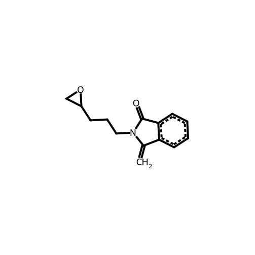 C=C1c2ccccc2C(=O)N1CCCC1CO1